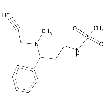 C#CCN(C)C(CCNS(C)(=O)=O)c1ccccc1